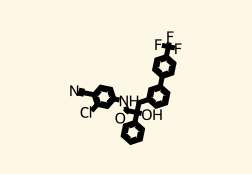 N#Cc1ccc(NC(=O)C(O)(Cc2cccc(-c3ccc(C(F)(F)F)cc3)c2)c2ccccc2)cc1Cl